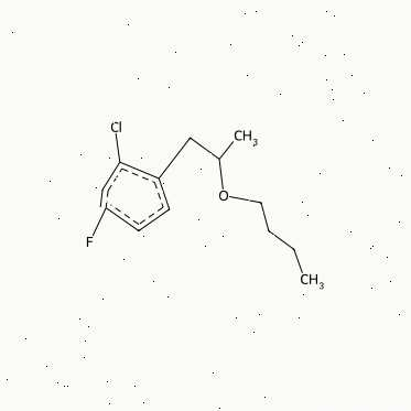 CCCCOC(C)Cc1ccc(F)cc1Cl